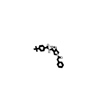 CC(C)(C)c1ccc(C(=O)Nc2[nH]nc3c2CN(C(=O)Cc2ccccc2)C3)cc1